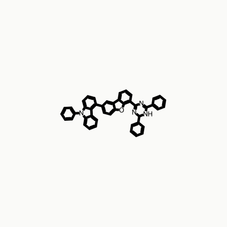 c1ccc(C2=NC(c3cccc4c3oc3ccc(-c5cccc6c5c5ccccc5n6-c5ccccc5)cc34)=NC(c3ccccc3)N2)cc1